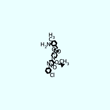 Cc1ccc(CS(=O)(=O)N2CCN(c3cnn(-c4cccc(Cl)c4)c(=O)c3OCC3(C)CC3)CC2)cc1N